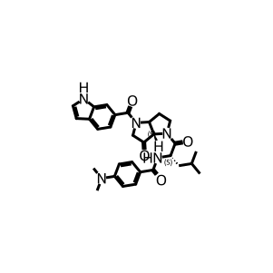 CC(C)C[C@H](NC(=O)c1ccc(N(C)C)cc1)C(=O)N1CCC2[C@H]1C(=O)CN2C(=O)c1ccc2cc[nH]c2c1